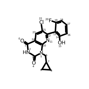 O=c1[nH]c(=O)n(CC2CC2)c2nc(-c3c(O)cccc3F)c(Cl)cc12